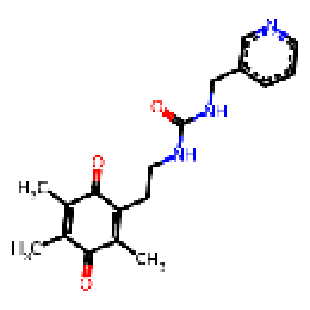 CC1=C(C)C(=O)C(CCNC(=O)NCc2cccnc2)=C(C)C1=O